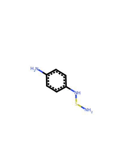 NSNc1ccc(N)cc1